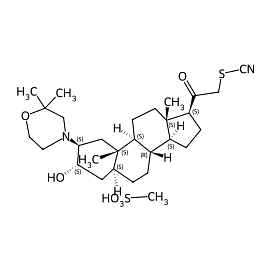 CC1(C)CN([C@H]2C[C@@]3(C)[C@@H](CC[C@@H]4[C@@H]3CC[C@]3(C)[C@@H](C(=O)CSC#N)CC[C@@H]43)C[C@@H]2O)CCO1.CS(=O)(=O)O